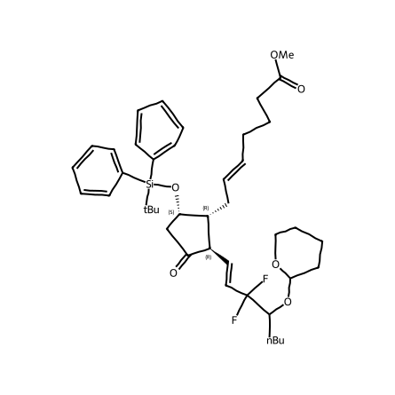 CCCCC(OC1CCCCO1)C(F)(F)C=C[C@H]1C(=O)C[C@H](O[Si](c2ccccc2)(c2ccccc2)C(C)(C)C)[C@@H]1CC=CCCCC(=O)OC